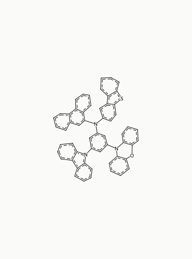 c1ccc2c(c1)Oc1ccccc1N2c1cc(N(c2ccc3sc4ccccc4c3c2)c2cc3ccccc3c3ccccc23)cc(-n2c3ccccc3c3ccccc32)c1